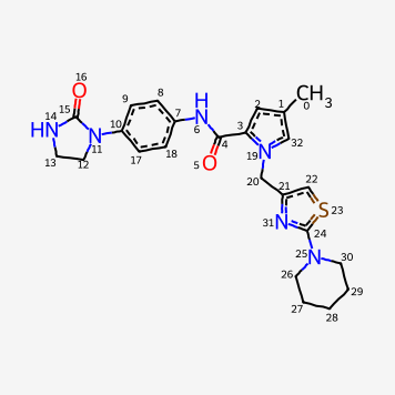 Cc1cc(C(=O)Nc2ccc(N3CCNC3=O)cc2)n(Cc2csc(N3CCCCC3)n2)c1